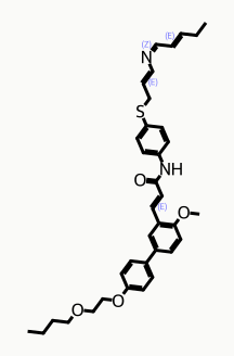 CC/C=C/C=N\C=C\CSc1ccc(NC(=O)/C=C/c2cc(-c3ccc(OCCOCCCC)cc3)ccc2OC)cc1